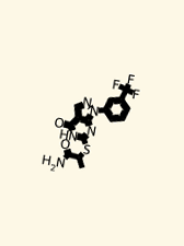 CC(Sc1nc2c(cnn2-c2cccc(C(F)(F)F)c2)c(=O)[nH]1)C(N)=O